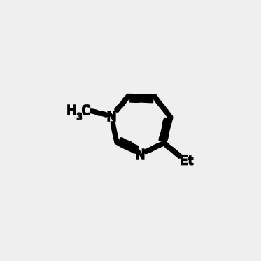 CCC1=CC=CN(C)C=N1